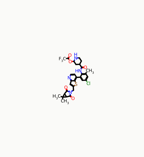 Cc1cc(Cl)cc(-c2ccnc3cc(CN4C(=O)C5C(C4=O)C5(C)C)sc23)c1NC(=O)C1CCNC(OC(=O)C(F)(F)F)C1